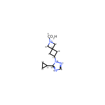 O=C(O)N1CC2(CC(n3ncnc3C3CC3)C2)C1